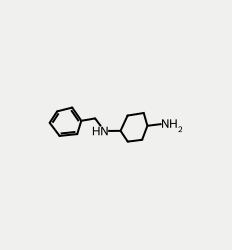 NC1CCC(NCc2ccccc2)CC1